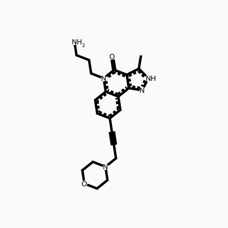 Cc1[nH]nc2c1c(=O)n(CCCN)c1ccc(C#CCN3CCOCC3)cc21